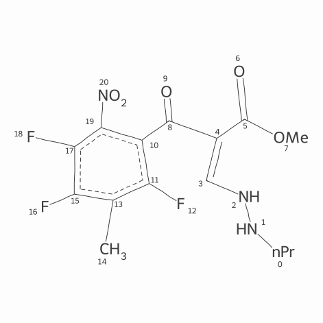 CCCNNC=C(C(=O)OC)C(=O)c1c(F)c(C)c(F)c(F)c1[N+](=O)[O-]